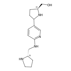 OC[C@@H]1CCC(c2ccc(NC[C@@H]3CCCN3)nc2)N1